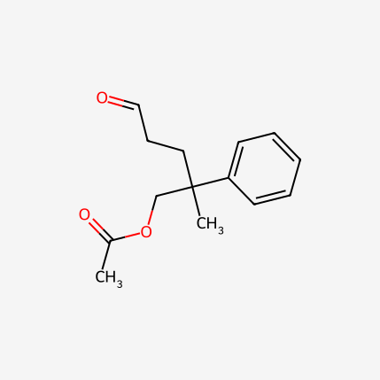 CC(=O)OCC(C)(CCC=O)c1ccccc1